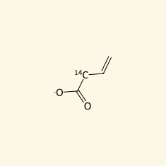 C=C[14CH2]C([O])=O